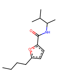 CCCCc1ccc(C(=O)NC(C)C(C)C)o1